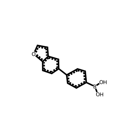 OB(O)c1ccc(-c2ccc3occc3c2)cc1